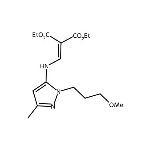 CCOC(=O)C(=CNc1cc(C)nn1CCCOC)C(=O)OCC